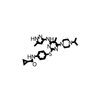 Cc1cc(Nc2nc(Sc3ccc(NC(=O)C4CC4)cc3)nc(N3CCN(C(C)C)CC3)c2C)n[nH]1